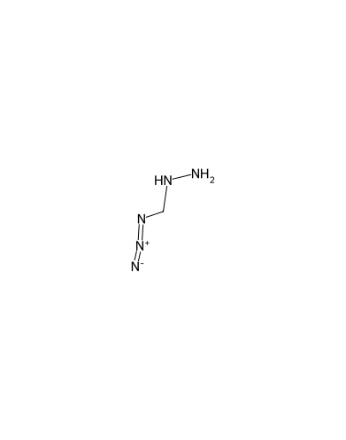 [N-]=[N+]=NCNN